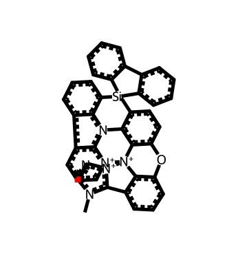 Cn1c2[n+](c3cncnc31)[N+]13c4c(cccc4-2)Oc2ccc4c(c21)-n1c2c(cccc2c2ccc[n+]3c21)[Si]41c2ccccc2-c2ccccc21